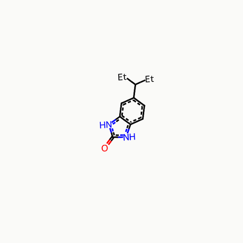 CCC(CC)c1ccc2[nH]c(=O)[nH]c2c1